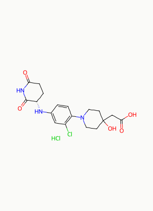 Cl.O=C(O)CC1(O)CCN(c2ccc(N[C@H]3CCC(=O)NC3=O)cc2Cl)CC1